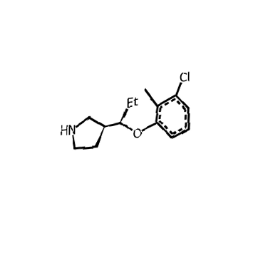 CC[C@@H](Oc1cccc(Cl)c1C)[C@H]1CCNC1